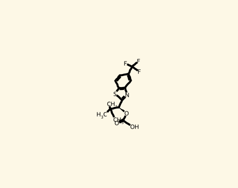 CC(C)(C)[C@H](OC(=O)O)c1nc2cc(C(F)(F)F)ccc2s1